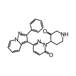 O=C1CNCCC1n1nc(-c2c(-c3ccccc3)nn3ccccc23)ccc1=O